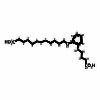 O=C(O)CCCCCCCCCCCOc1ccccc1SCCCC(=O)O